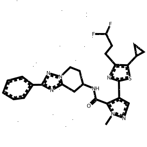 Cn1ncc(-c2nc(CCC(F)F)c(C3CC3)s2)c1C(=O)NC1CCn2nc(-c3ccccc3)nc2C1